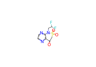 O=C1CS(=O)(=O)N(CC(F)F)c2nccnc21